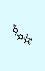 C=C1C(=O)NC(=O)N1c1ccc(Oc2ccc(Br)cc2)c(C)c1